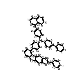 c1ccc(-c2ccc(N(c3ccc(-c4cccc5ccccc45)cc3)c3ccc(-c4cccc5oc6cc7sc(-c8ccccc8)nc7cc6c45)cc3)cc2)cc1